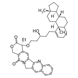 CC[C@@]1(OCC[C@@H](O)CCC2=CCCC3CC[C@H]4[C@@H]5CCC[C@@]5(C)CC[C@@H]4[C@@]23C)C(=O)OCc2c1cc1n(c2=O)Cc2cc3ccccc3nc2-1